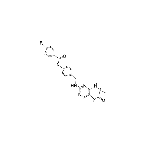 CN1C(=O)C(C)(C)N(C)c2nc(NCc3ccc(NC(=O)c4ccc(F)cc4)cc3)ncc21